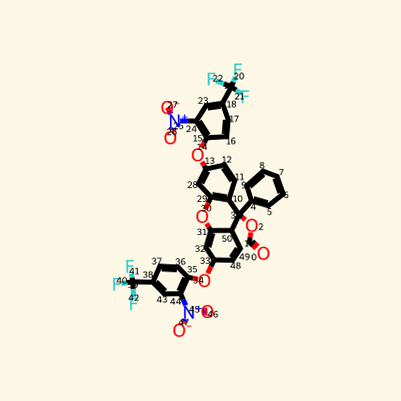 O=COC1(c2ccccc2)c2ccc(Oc3ccc(C(F)(F)F)cc3[N+](=O)[O-])cc2OC2=CC(Oc3ccc(C(F)(F)F)cc3[N+](=O)[O-])C=CC21